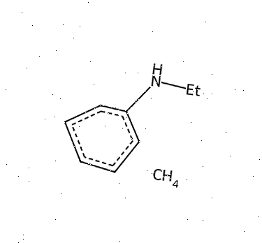 C.CCNc1ccccc1